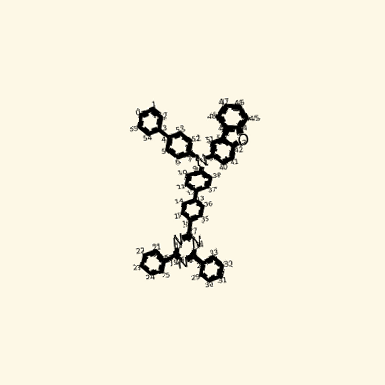 c1ccc(-c2ccc(N(c3ccc(-c4ccc(-c5nc(-c6ccccc6)nc(-c6ccccc6)n5)cc4)cc3)c3ccc4oc5ccccc5c4c3)cc2)cc1